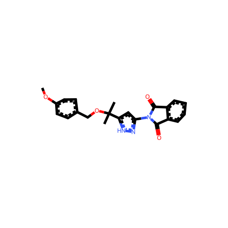 COc1ccc(COC(C)(C)c2cc(N3C(=O)c4ccccc4C3=O)n[nH]2)cc1